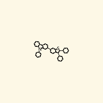 c1ccc(-c2sc3cc(-c4ccc5c6ccccc6n(-c6ccccc6)c5c4)ccc3c2-c2ccccc2)cc1